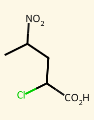 CC(CC(Cl)C(=O)O)[N+](=O)[O-]